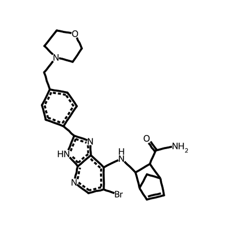 NC(=O)C1C2C=CC(C2)C1Nc1c(Br)cnc2[nH]c(-c3ccc(CN4CCOCC4)cc3)nc12